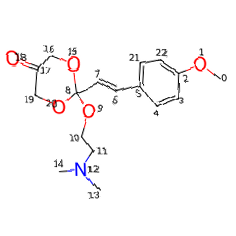 COc1ccc(/C=C/C2(OCCN(C)C)OCC(=O)CO2)cc1